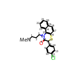 CNCCCN1C(=O)C(c2ccc(Cl)cc2)Sc2ccc3ccccc3c21